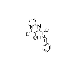 O=C(NCc1ccccc1)c1nc2n(c(=O)c1O)CCS2